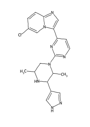 CC1CN(c2nccc(-c3cnc4ccc(Cl)cn34)n2)C(C)C(c2cn[nH]c2)N1